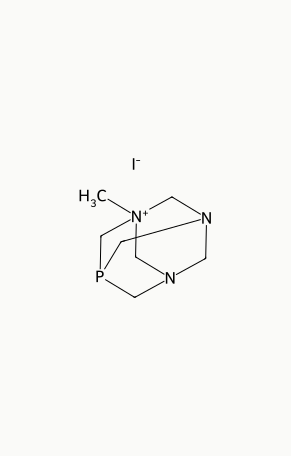 C[N+]12CN3CN(CP(C3)C1)C2.[I-]